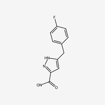 O=NC(=O)c1cc(Cc2ccc(F)cc2)[nH]n1